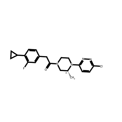 C[C@@H]1CN(C(=O)Cc2ccc(C3CC3)c(F)c2)CCN1c1ccc(Cl)nn1